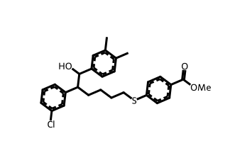 COC(=O)c1ccc(SCCCCC(c2cccc(Cl)c2)C(O)c2ccc(C)c(C)c2)cc1